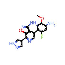 COc1cc(-c2cnc(-c3cn[nH]c3)c3onc(N)c23)c(F)cc1N